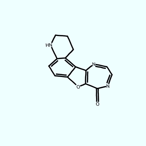 O=c1nccnc2c1oc1ccc3c(c12)CCCN3